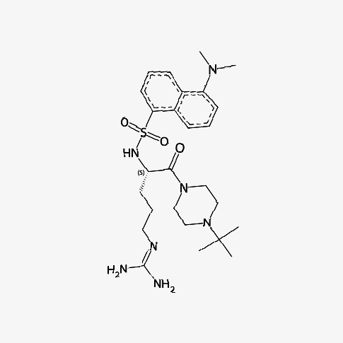 CN(C)c1cccc2c(S(=O)(=O)N[C@@H](CCCN=C(N)N)C(=O)N3CCN(C(C)(C)C)CC3)cccc12